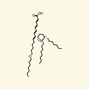 CCCCCCCC[C@H]1OCCC[C@@H]1CCCCCCC.CCCCCCCOCCCCCC=CC=CC=CC=CC(=O)O